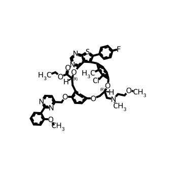 CCOC(=O)[C@H]1Cc2cc(ccc2OCc2ccnc(-c3ccccc3OC)n2)OC[C@@H](CN(C)CCOC)Oc2ccc(c(C)c2Cl)-c2c(-c3ccc(F)cc3)sc3ncnc(c23)O1